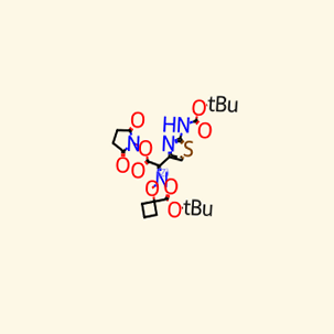 CC(C)(C)OC(=O)Nc1nc(/C(=N/OC2(C(=O)OC(C)(C)C)CCC2)C(=O)ON2C(=O)CCC2=O)cs1